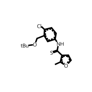 Cc1occc1C(=S)Nc1ccc(Cl)c(COC(C)(C)C)c1